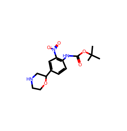 CC(C)(C)OC(=O)Nc1ccc(C2CNCCO2)cc1[N+](=O)[O-]